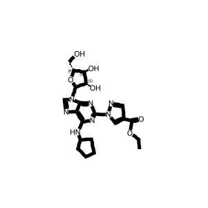 CCOC(=O)c1cnn(-c2nc(NC3CCCC3)c3ncn(C4O[C@H](CO)[C@@H](O)[C@@H]4O)c3n2)c1